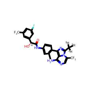 [2H]C([2H])([2H])c1nc(-c2ccc(NC(=O)[C@H](O)c3cc(F)cc(C(F)(F)F)c3)cc2C)c2c(N)ncc(C(F)(F)F)n12